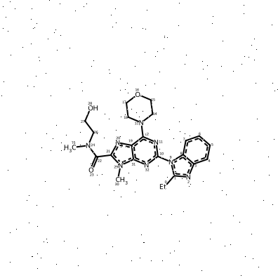 CCc1nc2ccccc2n1-c1nc(N2CCOCC2)c2nc(C(=O)N(C)CCO)n(C)c2n1